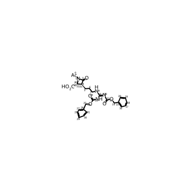 CC(=O)N1C(=O)[C@@H](CCCNC(=NC(=O)OCc2ccccc2)NC(=O)OCc2ccccc2)[C@@H]1C(=O)O